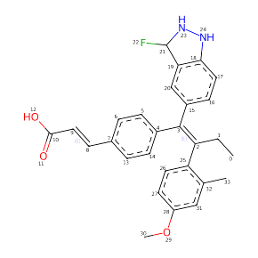 CC/C(=C(/c1ccc(/C=C/C(=O)O)cc1)c1ccc2c(c1)C(F)NN2)c1ccc(OC)cc1C